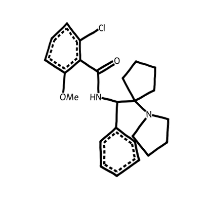 COc1cccc(Cl)c1C(=O)NC(c1ccccc1)C1(N2CCCC2)CCCC1